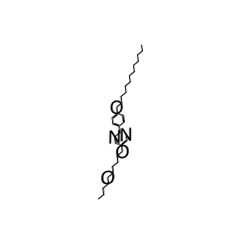 CCCCCCCCCCCCOc1ccc(-c2ncc(OCCCCOCCCC)cn2)cc1